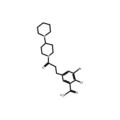 NC(=O)c1cc(C[CH]C(=O)N2CCC(N3CCCCC3)CC2)cc(Br)c1Cl